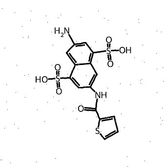 Nc1cc(S(=O)(=O)O)c2cc(NC(=O)c3cccs3)cc(S(=O)(=O)O)c2c1